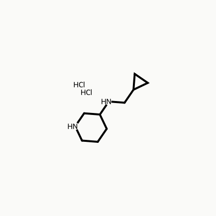 C1CNCC(NCC2CC2)C1.Cl.Cl